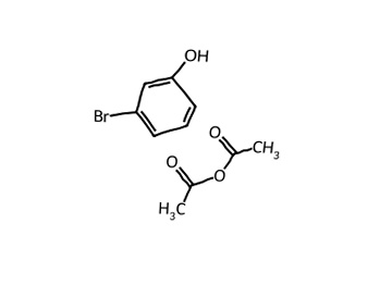 CC(=O)OC(C)=O.Oc1cccc(Br)c1